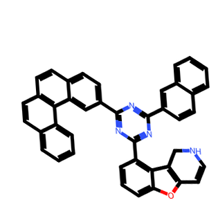 C1=Cc2oc3cccc(-c4nc(-c5ccc6ccccc6c5)nc(-c5ccc6ccc7ccc8ccccc8c7c6c5)n4)c3c2CN1